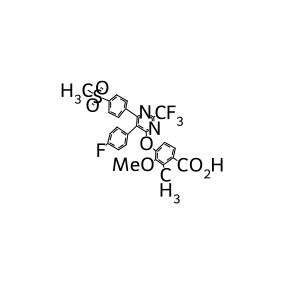 COc1c(Oc2nc(C(F)(F)F)nc(-c3ccc(S(C)(=O)=O)cc3)c2-c2ccc(F)cc2)ccc(C(=O)O)c1C